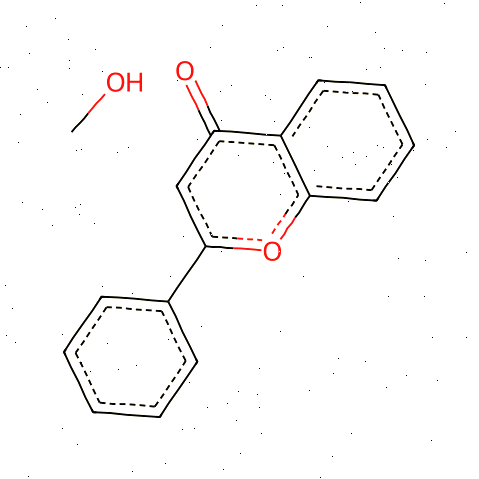 CO.O=c1cc(-c2ccccc2)oc2ccccc12